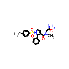 Cc1ccc(S(=O)(=O)N2CC=C(C(=O)N(C)CC(N)=O)C2c2ccccc2)cc1